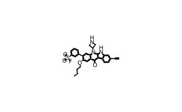 C#Cc1ccc2c(c1)[nH]c1c2c(=O)c2cc(OCCCC)c(-c3cccc(S(=O)(=O)F)c3)cc2n1C1CNC1